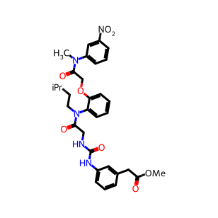 COC(=O)Cc1cccc(NC(=O)NCC(=O)N(CCC(C)C)c2ccccc2OCC(=O)N(C)c2cccc([N+](=O)[O-])c2)c1